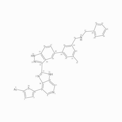 CC(=O)c1ccc(-c2cncc3[nH]c(-c4n[nH]c5ccc(-c6cc(C)cc(CNCc7ccccc7)c6)cc45)nc23)s1